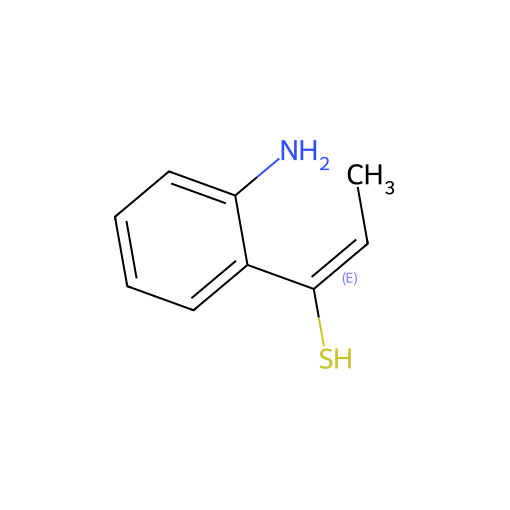 C/C=C(/S)c1ccccc1N